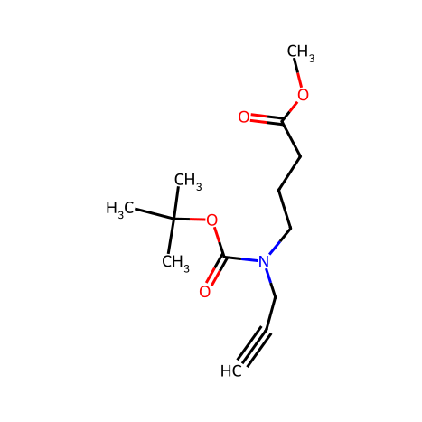 C#CCN(CCCC(=O)OC)C(=O)OC(C)(C)C